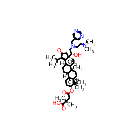 CC(C)C1=C2[C@H]3CC[C@@H]4[C@@]5(C)CC[C@H](OC(=O)CC(C)(C)C(=O)O)C(C)(C)[C@@H]5CC[C@@]4(C)[C@]3(C)CC[C@@]2([C@@H](O)CN(CCN(C)C)Cc2cncnc2)CC1=O